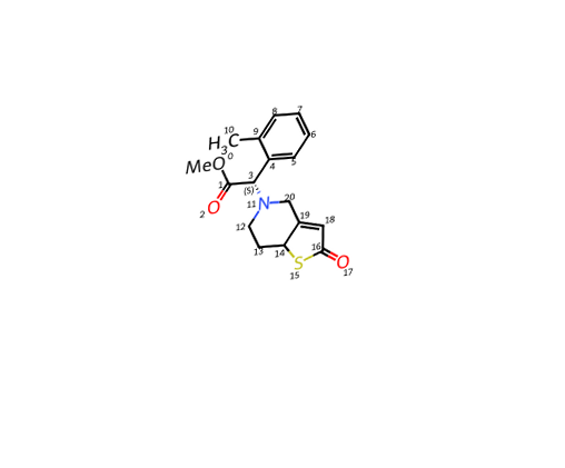 COC(=O)[C@H](c1ccccc1C)N1CCC2SC(=O)C=C2C1